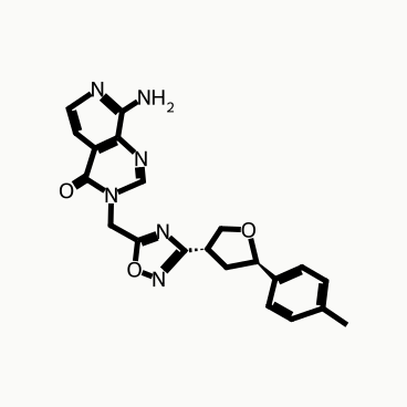 Cc1ccc([C@H]2C[C@H](c3noc(Cn4cnc5c(N)nccc5c4=O)n3)CO2)cc1